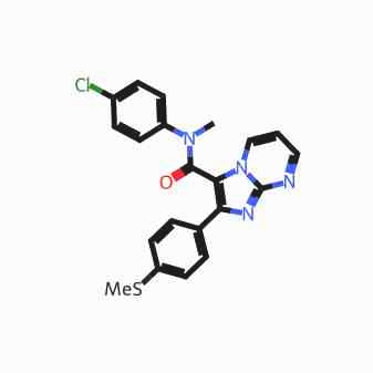 CSc1ccc(-c2nc3ncccn3c2C(=O)N(C)c2ccc(Cl)cc2)cc1